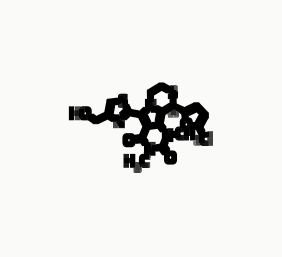 Cn1c(=O)c2c(-c3nc(CO)cs3)n3c(c2n(C)c1=O)[C@H](c1ccc(Cl)o1)SCC3